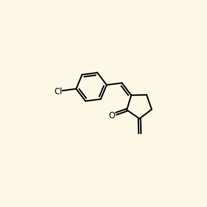 C=C1CCC(=Cc2ccc(Cl)cc2)C1=O